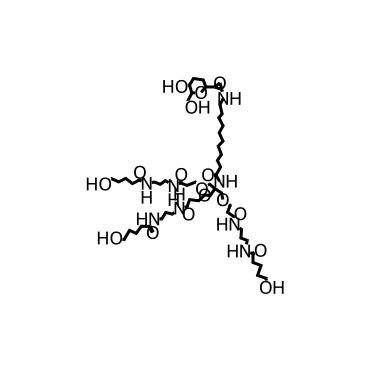 O=C(CCCCO)NCCCNC(=O)CCOCC(COCCC(=O)NCCCNC(=O)CCCCO)(COCCC(=O)NCCCNC(=O)CCCCO)NC(=O)CCCCCCCCCCNC1OC1C1CCC(O)C(CO)O1